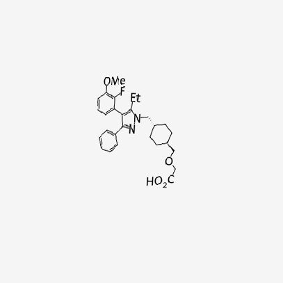 CCc1c(-c2cccc(OC)c2F)c(-c2ccccc2)nn1C[C@H]1CC[C@H](COCC(=O)O)CC1